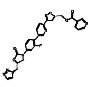 O=C(OC[C@@H]1CC(c2ccc(-c3ccc(N4C[C@H](Cn5ccnn5)OC4=O)cc3F)cn2)=NO1)c1cccnc1